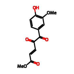 COC(=O)/C=C/C(=O)C(=O)c1ccc(O)c(OC)c1